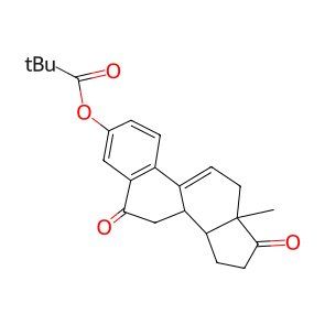 CC(C)(C)C(=O)Oc1ccc2c(c1)C(=O)CC1C2=CCC2(C)C(=O)CCC12